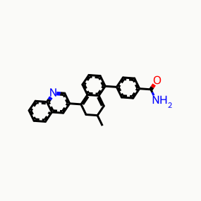 CC1C=c2c(-c3ccc(C(N)=O)cc3)cccc2=C(c2cnc3ccccc3c2)C1